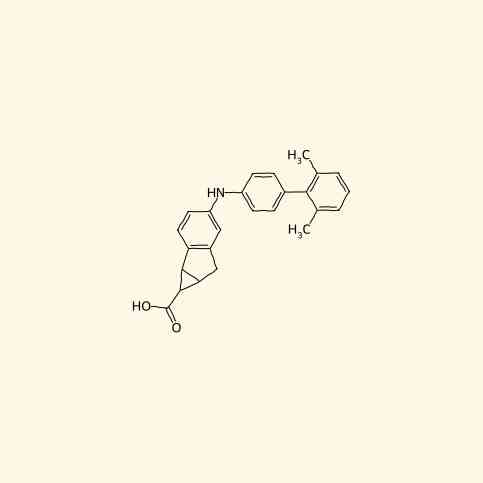 Cc1cccc(C)c1-c1ccc(Nc2ccc3c(c2)CC2C(C(=O)O)C32)cc1